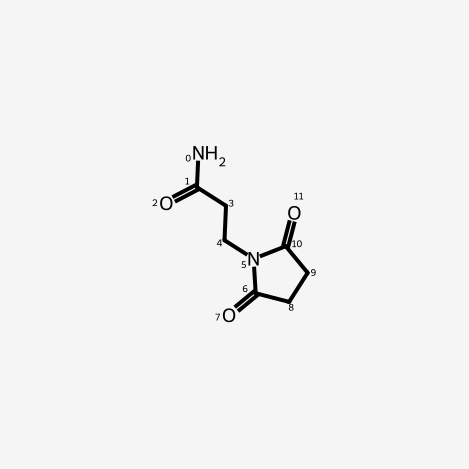 NC(=O)CCN1C(=O)CCC1=O